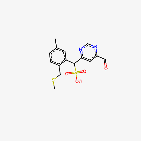 CSCc1ccc(C)cc1C(c1cc(C=O)ncn1)S(=O)(=O)O